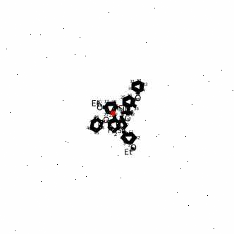 CCOc1ccc([SiH2]CC(C)(OC(C)(C[SiH2]c2ccc(OCC)cc2)c2cccc(Oc3ccccc3)c2C)c2cccc(Oc3ccccc3)c2C)cc1